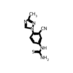 Cc1ncn(-c2ccc(NC(N)=S)cc2C#N)n1